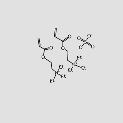 C=CC(=O)OCC[N+](CC)(CC)CC.C=CC(=O)OCC[N+](CC)(CC)CC.O=S(=O)([O-])[O-]